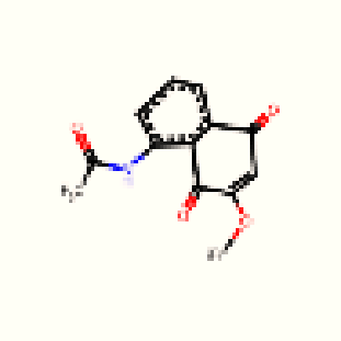 CC(C)OC1=CC(=O)c2cccc(NC(=O)C(F)(F)F)c2C1=O